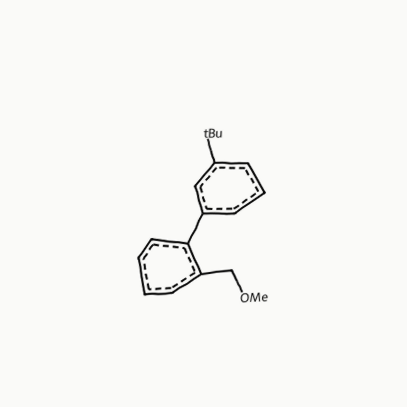 COCc1ccccc1-c1cccc(C(C)(C)C)c1